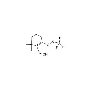 CC1(C)CCCC(OSC(F)(F)F)=C1CO